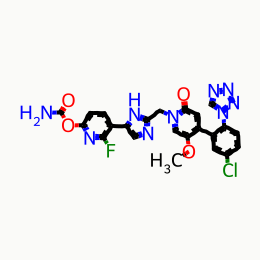 COc1cn(Cc2ncc(-c3ccc(OC(N)=O)nc3F)[nH]2)c(=O)cc1-c1cc(Cl)ccc1-n1cnnn1